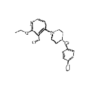 CCOc1nccc(N2CCC(Oc3ccc(Cl)cc3)CC2)c1C=O